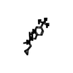 CN(CC1CC1)NCc1ccc(C(F)(F)F)cn1